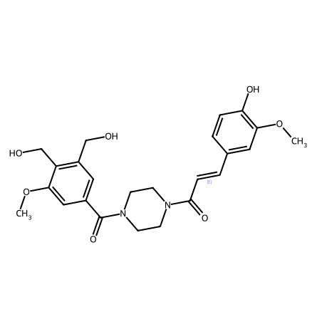 COc1cc(/C=C/C(=O)N2CCN(C(=O)c3cc(CO)c(CO)c(OC)c3)CC2)ccc1O